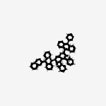 c1ccc(-c2c3ccccc3c(-c3cc4cc(-c5c6ccccc6c(-c6ccc7ccccc7c6)c6ccccc56)c5sc6ccccc6c5c4c4c3sc3ccccc34)c3ccccc23)cc1